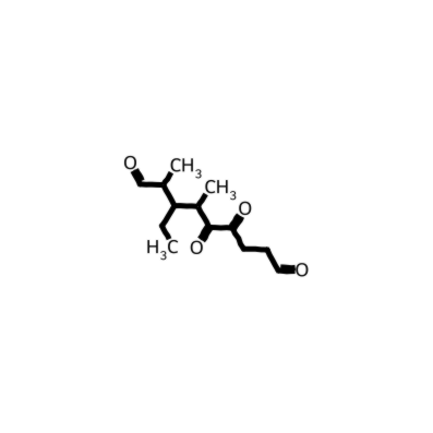 CCC(C(C)C=O)C(C)C(=O)C(=O)CCC=O